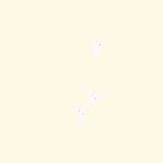 N#CC1[CH]CNN1